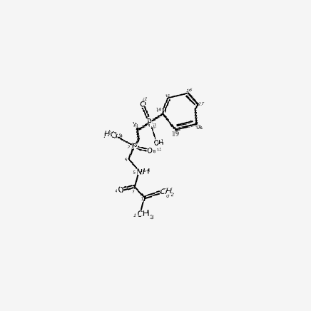 C=C(C)C(=O)NCP(=O)(O)CP(=O)(O)c1ccccc1